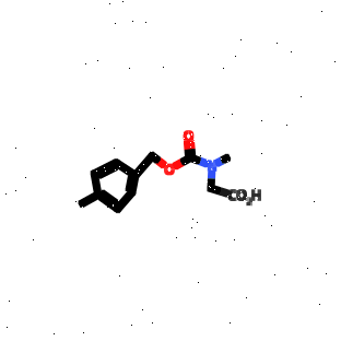 Cc1ccc(COC(=O)N(C)CC(=O)O)cc1